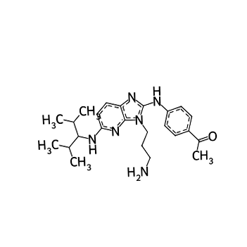 CC(=O)c1ccc(Nc2nc3ccc(NC(C(C)C)C(C)C)nc3n2CCCN)cc1